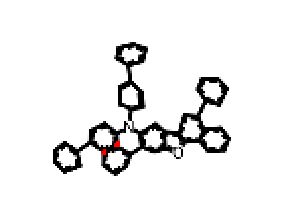 C1=CC(N(c2ccc(-c3ccccc3)cc2)c2cc3c(cc2-c2ccccc2)oc2c4ccccc4c(-c4ccccc4)cc32)CC=C1c1ccccc1